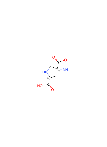 N[C@@]1(C(=O)O)CN[C@@H](C(=O)O)C1